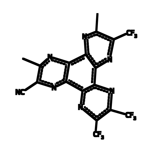 Cc1nc2c3nc(C)c(C(F)(F)F)nc3c3nc(C(F)(F)F)c(C(F)(F)F)nc3c2nc1C#N